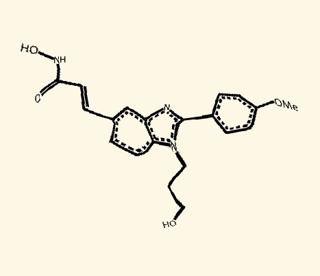 COc1ccc(-c2nc3cc(C=CC(=O)NO)ccc3n2CCCO)cc1